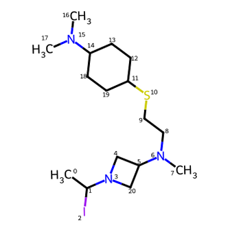 CC(I)N1CC(N(C)CCSC2CCC(N(C)C)CC2)C1